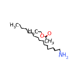 CCCCCCCCCCCCCCCCN.CCOC(C)=O